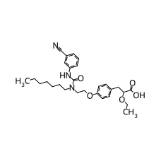 CCCCCCCN(CCOc1ccc(CC(OCC)C(=O)O)cc1)C(=O)Nc1cccc(C#N)c1